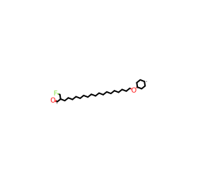 O=[C]C(CF)CCCCCCCCCCCCCCCCCCOC1CC[CH]CC1